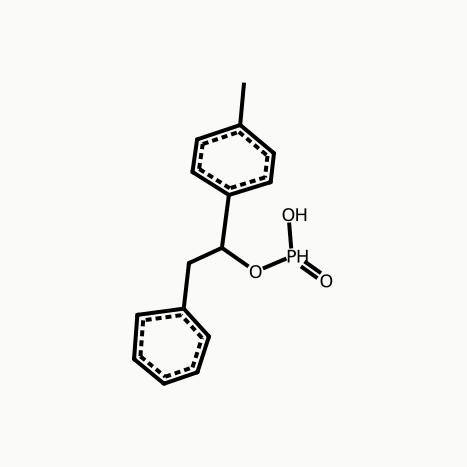 Cc1ccc(C(Cc2ccccc2)O[PH](=O)O)cc1